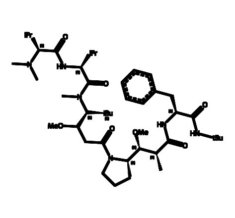 CC[C@H](C)[C@@H](C(CC(=O)N1CCC[C@H]1[C@H](OC)[C@@H](C)C(=O)N[C@@H](Cc1ccccc1)C(=O)NC(C)(C)C)OC)N(C)C(=O)[C@@H](NC(=O)[C@H](C(C)C)N(C)C)C(C)C